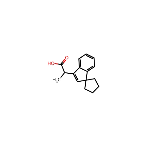 CC(C(=O)O)C1=CC2(CCCC2)c2ccccc21